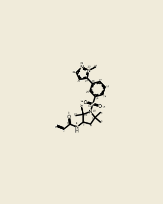 C=CC(=O)NC1CC(C)(C)N(S(=O)(=O)c2cccc(-c3ccnn3C)c2)C1(C)C